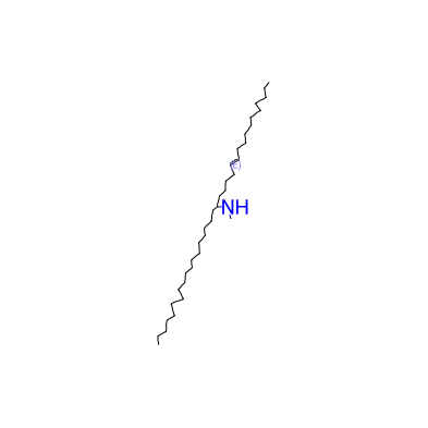 CCCCCCCCCC/C=C/CCCCC(CCCCCCCCCCCCCCCCCC)NC